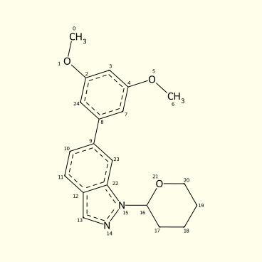 COc1cc(OC)cc(-c2ccc3cnn(C4CCCCO4)c3c2)c1